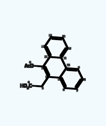 CC(=O)Oc1c(CC(=O)O)c2ccccc2c2ccccc12